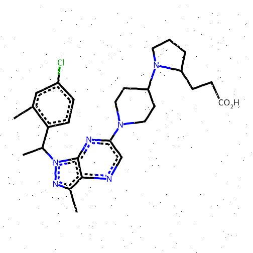 Cc1cc(Cl)ccc1C(C)n1nc(C)c2ncc(N3CCC(N4CCCC4CCC(=O)O)CC3)nc21